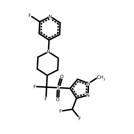 Cn1cc(S(=O)(=O)C(F)(F)C2CCN(c3ccnc(F)c3)CC2)c(C(F)F)n1